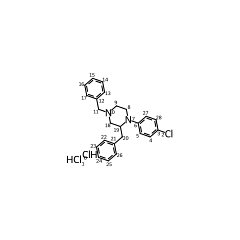 Cl.Cl.Clc1ccc(N2CCN(Cc3ccccc3)CC2Cc2ccccc2)cc1